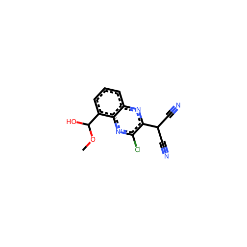 COC(O)c1cccc2nc(C(C#N)C#N)c(Cl)nc12